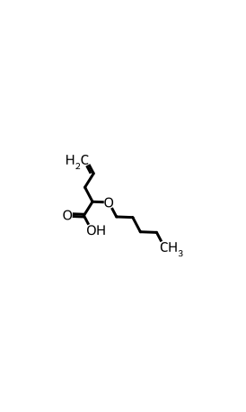 C=CCC(OCCCCC)C(=O)O